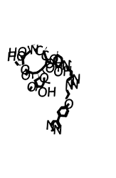 CC[C@H]1OC(=O)[C@H](C)[C@@H](C2C[C@@](C)(OC)[C@@H](O)[C@H](C)O2)[C@H](C)[C@@H](O[C@@H]2O[C@H](C)C[C@H](N(C)CCc3cn(CCCOc4ccc(-c5cncnc5)cc4)nn3)[C@H]2O)[C@](C)(O)C[C@@H](C)CN(C)[C@H](C)[C@@H](O)[C@]1(C)O